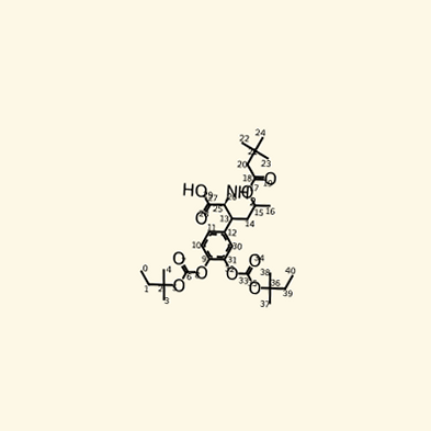 CCC(C)(C)OC(=O)Oc1ccc(C(CC(C)OC(=O)CC(C)(C)C)[C@H](N)C(=O)O)cc1OC(=O)OC(C)(C)CC